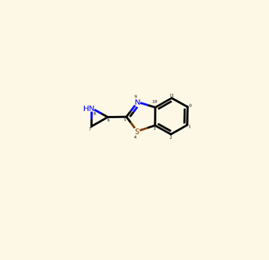 c1ccc2sc(C3CN3)nc2c1